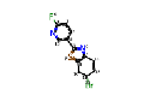 Fc1ccc(-c2nc3c(s2)CC(Br)C=C3)cn1